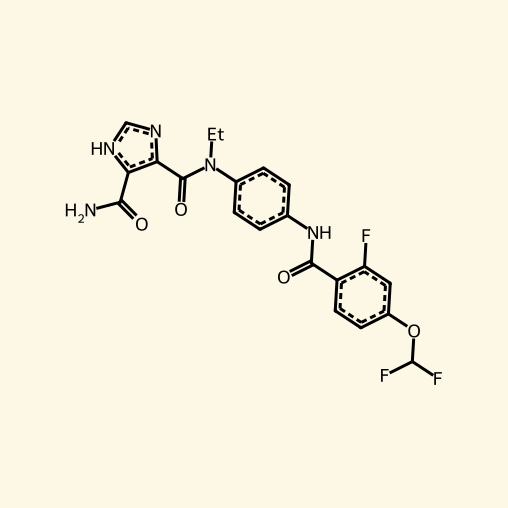 CCN(C(=O)c1nc[nH]c1C(N)=O)c1ccc(NC(=O)c2ccc(OC(F)F)cc2F)cc1